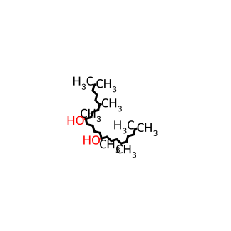 CC(C)CCCC(C)CCCC(C)(O)CCCCC(C)(O)CCCC(C)CCCC(C)C